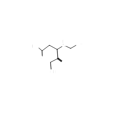 CCNC(CC(C)C)C(=O)CC